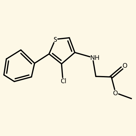 COC(=O)CNc1csc(-c2ccccc2)c1Cl